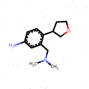 CN(C)Cc1cc(N)ccc1C1CCOC1